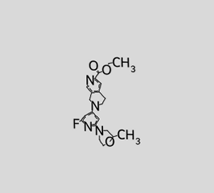 CCOC(=O)c1cc2c(cn1)CN(c1cc(F)nc(N3CCOC(C)C3)c1)CC2